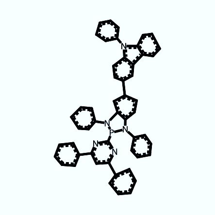 c1ccc(-c2cc(-c3ccccc3)nc(P3N(c4ccccc4)c4ccc(-c5ccc6c(c5)c5ccccc5n6-c5ccccc5)cc4N3c3ccccc3)n2)cc1